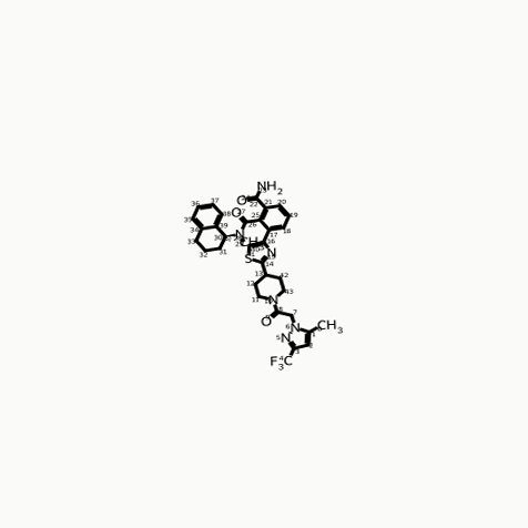 Cc1cc(C(F)(F)F)nn1CC(=O)N1CCC(c2nc(-c3cccc(C(N)=O)c3C(=O)N(C)[C@H]3CCCc4ccccc43)cs2)CC1